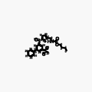 CCCCOC(=O)NCc1ccc([S+]([O-])c2cc(-c3ccccc3)cc(S(C)(=O)=O)c2)s1